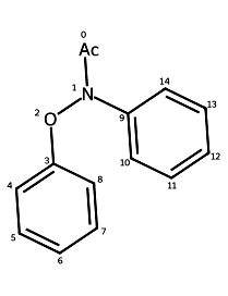 [CH2]C(=O)N(Oc1ccccc1)c1ccccc1